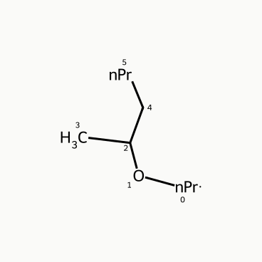 CC[CH]OC(C)CCCC